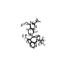 COc1nc(C2CC2)nc2c1CCN(C(=O)c1c(C)oc3ncnc(NC4(C)CC4)c13)C2